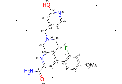 COc1ccc(-c2cc(C(N)=O)nc3c2CCN(Cc2ccnc(O)c2)C3)c(F)c1